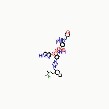 C=C(CCC1=C(CN2CCN(c3ccc(C(=O)NS(=O)(=O)c4ccc(NCC5CCOCC5)c(N(I)I)c4)c(Oc4cnc5[nH]ccc5c4)c3)CC2)CCC2(CCC2)C1)C(C)F